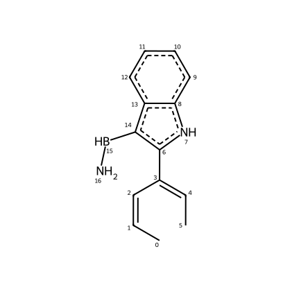 C/C=C\C(=C/C)c1[nH]c2ccccc2c1BN